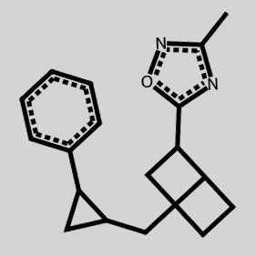 Cc1noc(C2CC3(CC4CC4c4ccccc4)CCC23)n1